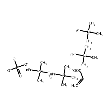 C=CC(=O)[O-].CCC[N+](C)(C)C.CCC[N+](C)(C)C.CCC[N+](C)(C)C.CCC[N+](C)(C)C.O=P([O-])([O-])[O-]